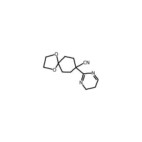 N#CC1(C2=NCCC=N2)CCC2(CC1)OCCO2